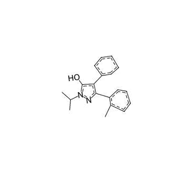 Cc1ccccc1-c1nn(C(C)C)c(O)c1-c1ccccc1